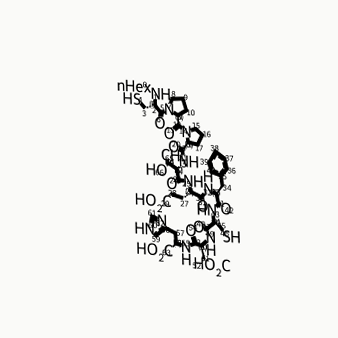 CCCCCCN[C@@H](CS)C(=O)N1CCC[C@H]1C(=O)N1CCC[C@H]1C(=O)N[C@H](C(=O)N[C@@H](CCC(=O)O)C(=O)N[C@@H](Cc1ccccc1)C(=O)N[C@@H](CS)C(=O)N[C@@H](CC(=O)O)C(=O)N[C@@H](Cc1c[nH]cn1)C(=O)O)[C@@H](C)O